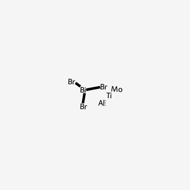 [Al].[Br][Bi]([Br])[Br].[Mo].[Ti]